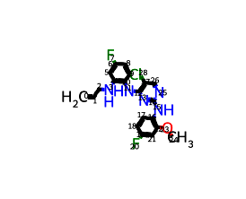 C=CCNc1cc(F)ccc1Nc1nc(Nc2ccc(F)cc2OC)ncc1Cl